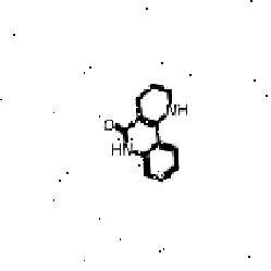 O=c1[nH]c2ccccc2c2c1CCCN2